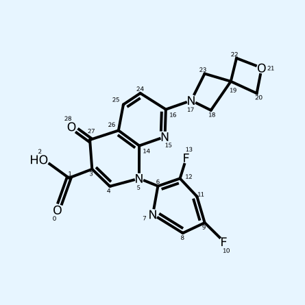 O=C(O)c1cn(-c2ncc(F)cc2F)c2nc(N3CC4(COC4)C3)ccc2c1=O